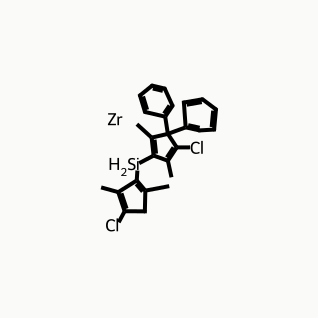 CC1=C([SiH2]C2=C(C)C(c3ccccc3)(c3ccccc3)C(Cl)=C2C)C(C)=C(Cl)C1.[Zr]